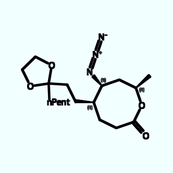 CCCCCC1(CC[C@@H]2CCC(=O)O[C@H](C)C[C@@H]2N=[N+]=[N-])OCCO1